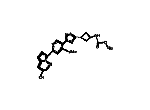 CNc1cc(-c2ccc3cc(C#N)cnn23)ncc1-c1nnc([C@H]2C[C@H](NC(=O)OC(C)(C)C)C2)s1